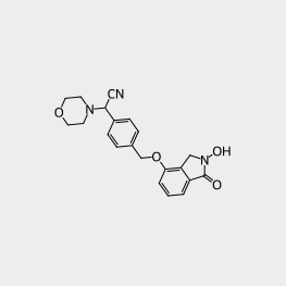 N#CC(c1ccc(COc2cccc3c2CN(O)C3=O)cc1)N1CCOCC1